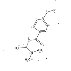 CC(OC(=O)c1ccc(CBr)cc1)N(C)C